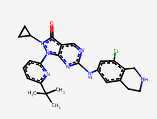 CC(C)(C)c1cccc(-n2c3nc(Nc4cc(Cl)c5c(c4)CCNC5)ncc3c(=O)n2C2CC2)n1